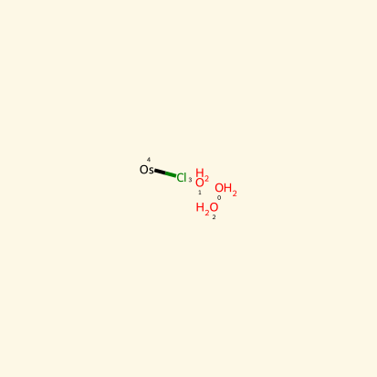 O.O.O.[Cl][Os]